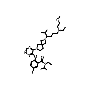 CCN(CCCC(C(C)C)N1CC2(CCN(c3ncnnc3Oc3ccc(F)cc3C(=O)N(CC)C(C)C)C2)C1)CCOC